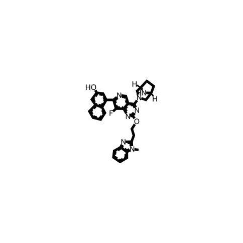 Cn1c(CCOc2nc(N3C[C@H]4CC[C@@H](C3)N4)c3cnc(-c4cc(O)cc5ccccc45)c(F)c3n2)nc2ccccc21